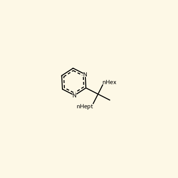 CCCCCCCC(C)(CCCCCC)c1ncccn1